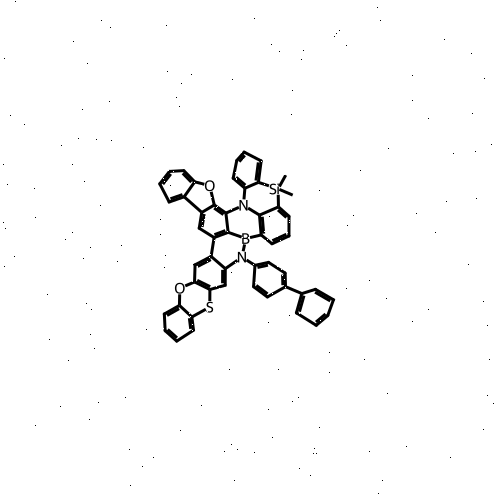 C[Si]1(C)c2ccccc2N2c3c(cccc31)B1c3c(cc4c(oc5ccccc54)c32)-c2cc3c(cc2N1c1ccc(-c2ccccc2)cc1)Sc1ccccc1O3